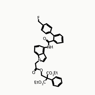 CCOC(=O)C(COC(=O)Cn1ccc2c(NC(=O)c3ccccc3-c3ccc(CF)cc3)cccc21)(C(=O)OCC)c1ccccc1